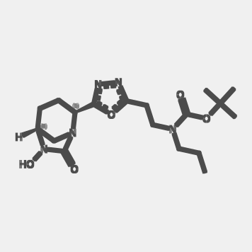 CCCN(CCc1nnc([C@@H]2CC[C@@H]3CN2C(=O)N3O)o1)C(=O)OC(C)(C)C